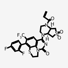 C=CC(=O)N1CCN(c2nc(=O)n3c4c(c(-c5ccc(F)cc5F)c(C(F)(F)F)cc24)SCC3)[C@@H]2CS(=O)(=O)C[C@@H]21